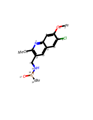 COc1nc2cc(OC(C)C)c(Cl)cc2cc1CN[S@+]([O-])C(C)(C)C